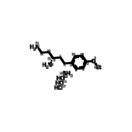 CCOc1ccc(CC[C@H](N)CCN)cc1.Cl.Cl.Cl.N